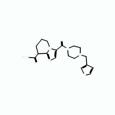 CNC(=O)C1CCCn2c(C(=O)N3CCN(Cc4ccsc4)CC3)[c]nc21